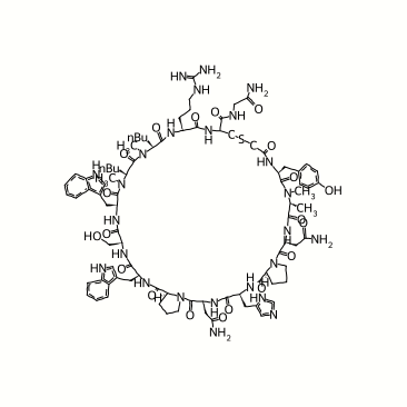 CCCC[C@H]1C(=O)N(C)[C@@H](CCCC)C(=O)N[C@@H](CCCNC(=N)N)C(=O)NC(C(=O)NCC(N)=O)CSCC(=O)N[C@@H](Cc2ccc(O)cc2)C(=O)N(C)[C@@H](C)C(=O)N[C@@H](CC(N)=O)C(=O)N2CCC[C@H]2C(=O)N[C@@H](Cc2cnc[nH]2)C(=O)N[C@@H](CC(N)=O)C(=O)N2CCC[C@H]2C(=O)N[C@@H](Cc2c[nH]c3ccccc23)C(=O)N[C@@H](CO)C(=O)N[C@@H](Cc2c[nH]c3ccccc23)C(=O)N1C